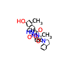 Cc1cc(O)cc(C)c1CC(NC(=O)OC(C)(C)C)C(=O)NC(C)C(=O)N1CCCc2ccccc21